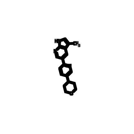 FC(F)(F)c1c[nH]c2ncc(-c3ccc(C4CCOCC4)cn3)cc12